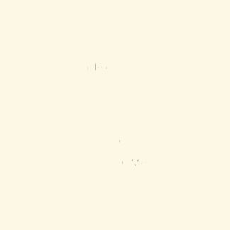 CCCCCCCCCCCCOCOC